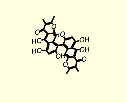 Cc1oc2cc3c(-c4c(O)cc(O)c5c(O)c6c(=O)c(C)c(C)oc6cc45)c(O)cc(O)c3c(O)c2c(=O)c1C